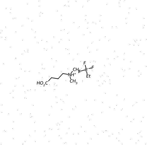 CC[B-](F)(F)F.C[NH+](C)CCCC(=O)O